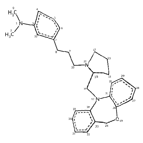 CN(C)c1cccc(CCCN2CCCC2CN2c3ccccc3COc3ccccc32)c1